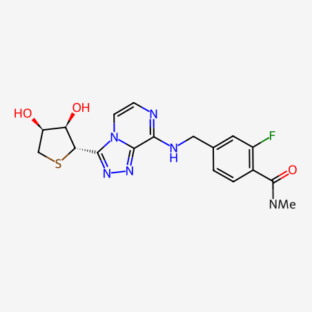 CNC(=O)c1ccc(CNc2nccn3c([C@@H]4SC[C@@H](O)[C@H]4O)nnc23)cc1F